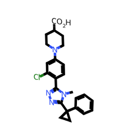 Cn1c(-c2ccc(N3CCC(C(=O)O)CC3)cc2Cl)nnc1C1(c2ccccc2)CC1